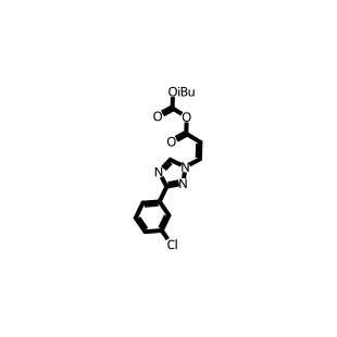 CC(C)COC(=O)OC(=O)/C=C\n1cnc(-c2cccc(Cl)c2)n1